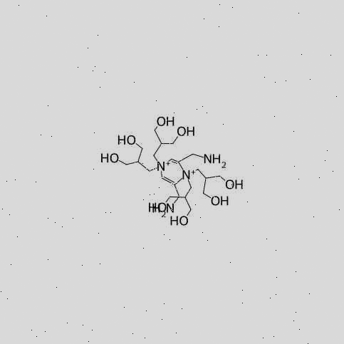 NCC1=C[N+](CC(CO)CO)(CC(CO)CO)C=C(CN)[N+]1(CC(CO)CO)CC(CO)CO